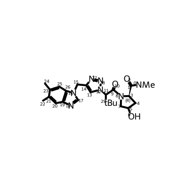 CNC(=O)[C@H]1CC(O)CN1C(=O)C(n1cc(Cn2cnc3cc(C)c(C)cc32)nn1)C(C)(C)C